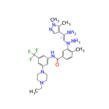 CCN1CCN(c2cc(NC(=O)c3ccc(C)c(N(N)/C=C(\N)c4cnn(C)c4C)c3)cc(C(F)(F)F)c2)CC1